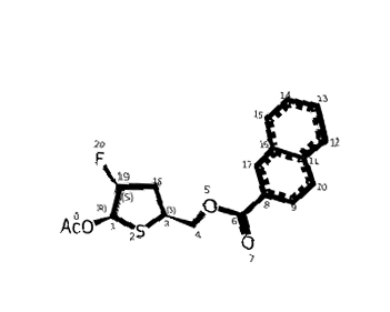 CC(=O)O[C@@H]1S[C@H](COC(=O)c2ccc3ccccc3c2)C[C@@H]1F